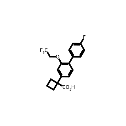 O=C(O)C1(c2ccc(-c3ccc(F)cc3)c(OCC(F)(F)F)c2)CCC1